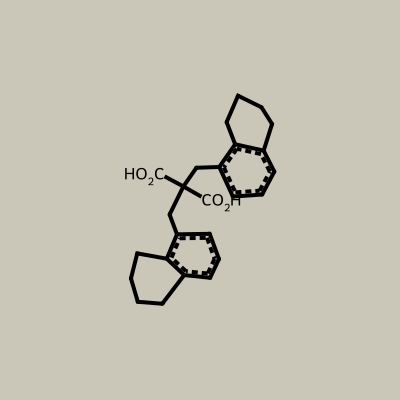 O=C(O)C(Cc1cccc2c1CCCC2)(Cc1cccc2c1CCCC2)C(=O)O